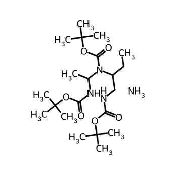 CCC(CNC(=O)OC(C)(C)C)N(C(=O)OC(C)(C)C)C(C)NC(=O)OC(C)(C)C.N